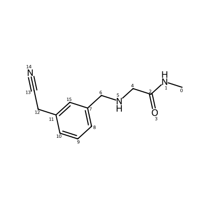 CNC(=O)CNCc1cccc(CC#N)c1